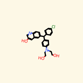 OCCN(CCO)c1ccc(C(c2ccc(Cl)cc2)c2ccc3ncc(O)cc3c2)cc1